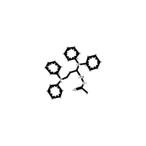 CC(=O)[O][Pd][CH](CCP(c1ccccc1)c1ccccc1)P(c1ccccc1)c1ccccc1